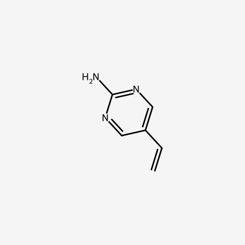 C=Cc1cnc(N)nc1